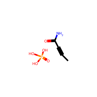 CC#CC(N)=O.O=P(O)(O)O